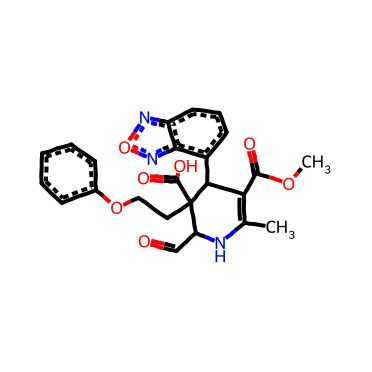 COC(=O)C1=C(C)NC(C=O)C(CCOc2ccccc2)(C(=O)O)C1c1cccc2nonc12